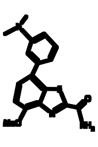 COc1ccc(-c2cccc(N(C)C)c2)c2sc(C(N)=O)nc12